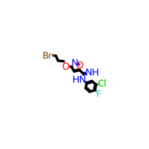 N=C(Nc1ccc(F)c(Cl)c1)c1cc(OCCCBr)no1